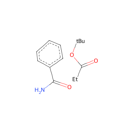 CCC(=O)OC(C)(C)C.NC(=O)c1ccccc1